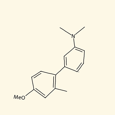 COc1ccc(-c2[c]ccc(N(C)C)c2)c(C)c1